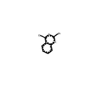 CC(C)c1nc(Cl)c2ccccc2n1